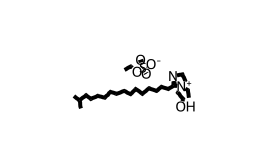 CCOS(=O)(=O)[O-].CC[N+]1(CCO)CCN=C1CCCCCCCCCCCCCCC(C)C